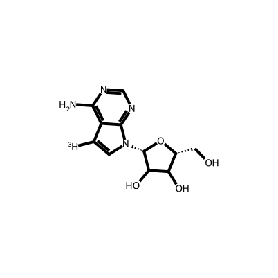 [3H]c1cn([C@@H]2O[C@H](CO)C(O)C2O)c2ncnc(N)c12